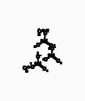 O=[Se]([O-])[O-].O=[Se]([O-])[O-].O=[Se]([O-])[O-].[Cr+3].[Cr+3]